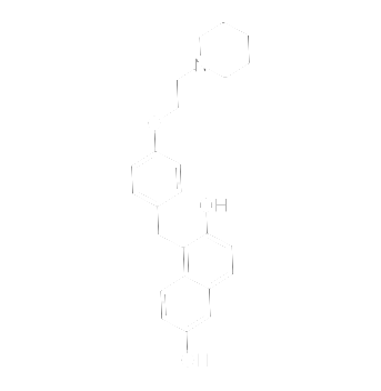 Oc1ccc2c(Cc3ccc(OCCN4CCCCC4)cc3)c(O)ccc2c1